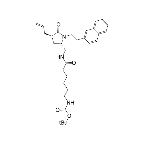 C=CC[C@@H]1C[C@@H](CNC(=O)CCCCCNC(=O)OC(C)(C)C)N(CCc2ccc3ccccc3c2)C1=O